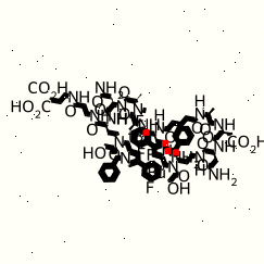 C[C@H](NC(=O)CCCC(=O)N[C@@H](CCCCN)C(=O)N[C@@H](C)C(=O)N(C)[C@@H](C)C(=O)N[C@@H](CC(N)=O)C(=O)N[C@@H](CCN(C(=O)CO)[C@@H](c1cc(-c2cc(F)ccc2F)cn1Cc1ccccc1)C(C)(C)C)C(=O)NCCC(=O)N[C@H](CCC(=O)O)C(=O)O)C(=O)N[C@@H](CC(=O)O)C(=O)N[C@@H](CC(N)=O)C(=O)NCCCN(C(=O)CO)[C@@H](c1cc(-c2cc(F)ccc2F)cn1Cc1ccccc1)C(C)(C)C